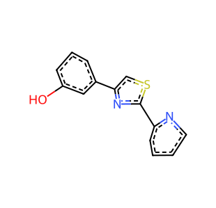 Oc1cccc(-c2csc(-c3ccccn3)n2)c1